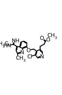 CNC(=N)c1cc(C)nc2c(OCc3c(Cl)cncc3CCC(=O)OC)cccc12